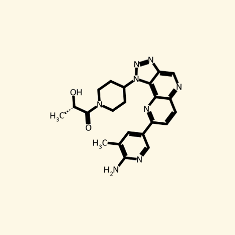 Cc1cc(-c2ccc3ncc4nnn(C5CCN(C(=O)[C@H](C)O)CC5)c4c3n2)cnc1N